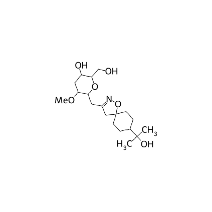 COC1CC(O)C(CO)OC1CC1=NOC2(CCC(C(C)(C)O)CC2)C1